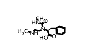 CNCCN(C(=O)NC)[C@@H](Cc1ccccc1)C(=O)O